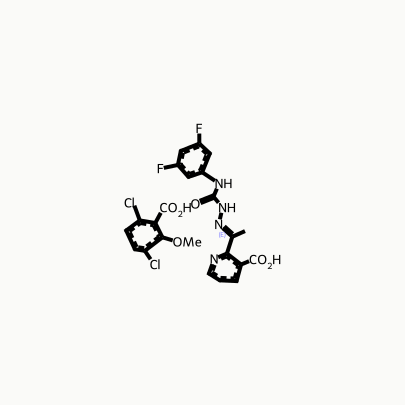 C/C(=N\NC(=O)Nc1cc(F)cc(F)c1)c1ncccc1C(=O)O.COc1c(Cl)ccc(Cl)c1C(=O)O